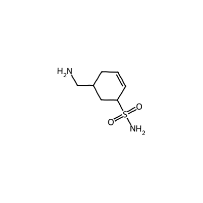 NCC1CC=CC(S(N)(=O)=O)C1